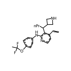 C=Cc1ccnc(Nc2ccc(OC(C)(F)F)cc2)c1C(CCC)C1CNC1